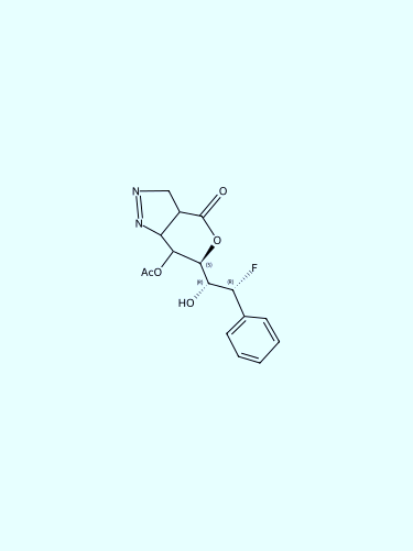 CC(=O)OC1C2N=NCC2C(=O)O[C@H]1[C@@H](O)[C@H](F)c1ccccc1